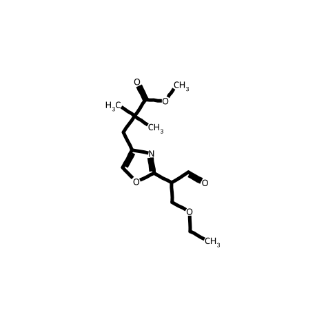 CCOCC(C=O)c1nc(CC(C)(C)C(=O)OC)co1